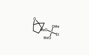 C1CC2OC23CC13.CC[Si](OC)(OC)OC